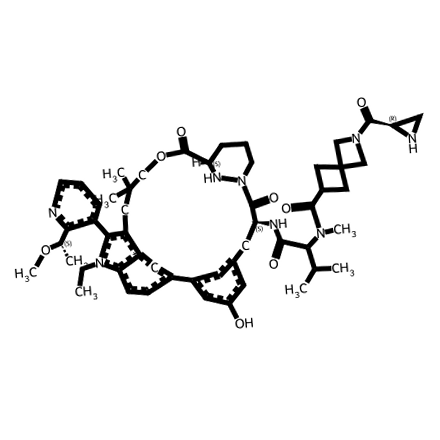 CCn1c(-c2cccnc2[C@H](C)OC)c2c3cc(ccc31)-c1cc(O)cc(c1)C[C@H](NC(=O)C(C(C)C)N(C)C(=O)C1CC3(C1)CN(C(=O)[C@H]1CN1)C3)C(=O)N1CCC[C@H](N1)C(=O)OCC(C)(C)C2